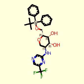 CC(C)(C)[Si](OC[C@H]1OC[C@H](Nc2cncc(C(F)(F)F)n2)[C@@H](O)[C@H]1O)(c1ccccc1)c1ccccc1